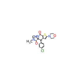 CN(C)C(=O)[C@@H]1NC(=O)c2sc(N3CCOCC3)cc2[C@H]1c1ccc(Cl)cc1